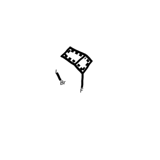 BrI.Fc1cc2ccc1-2